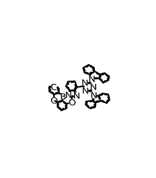 c1ccc2c(c1)Oc1cccc3c1B2n1c(nc2c(-c4nc(-n5c6ccccc6c6ccccc65)nc(-n5c6ccccc6c6ccccc65)n4)cccc21)O3